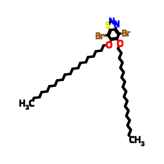 CCCCCCCCCCCCCCCCCCCCOc1c(OCCCCCCCCCCCCCCCCCCCC)c(Br)c2snnc2c1Br